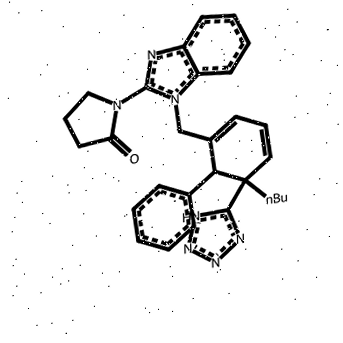 CCCCC1(c2nnn[nH]2)C=CC=C(Cn2c(N3CCCC3=O)nc3ccccc32)C1c1ccccc1